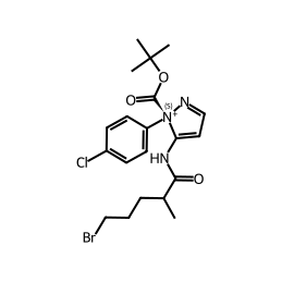 CC(CCCBr)C(=O)NC1=CC=N[N@@+]1(C(=O)OC(C)(C)C)c1ccc(Cl)cc1